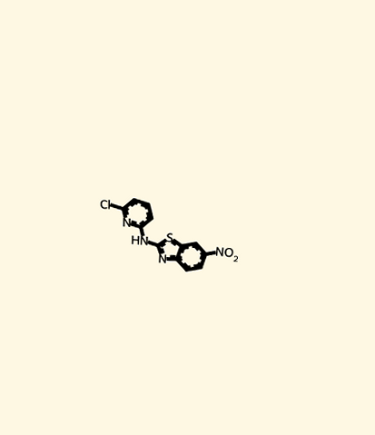 O=[N+]([O-])c1ccc2nc(Nc3cccc(Cl)n3)sc2c1